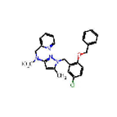 Cc1cc(N(Cc2ccccn2)C(=O)O)nn1Cc1cc(Cl)ccc1OCc1ccccc1